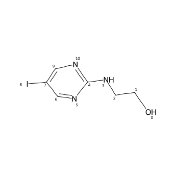 OCCNc1ncc(I)cn1